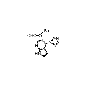 CC(C)(C)OC=O.c1cc(-n2cncn2)c2cc[nH]c2n1